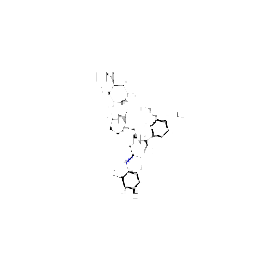 COc1ccc(C(=O)N(C/C(C)=C/c2ccc(F)cc2F)CC2CCCN2C[C@H]2CC[C@@H](N)CC2)cc1OC